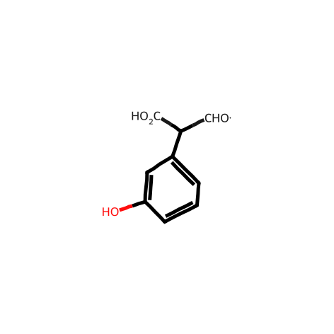 O=[C]C(C(=O)O)c1cccc(O)c1